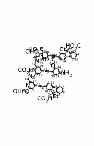 CCC1(CC(=O)O)c2ccccc2-c2ccc(C#Cc3cc(CN(CC(=O)O)Cc4cc(C#Cc5ccc(N)cc5OCC(=O)O)cc(CN(COC=O)Cc5cc(C#Cc6ccc7c(c6)C(CC)(CC(=O)O)c6ccccc6-7)cc(C(=O)O)n5)n4)nc(OC=O)c3)cc21